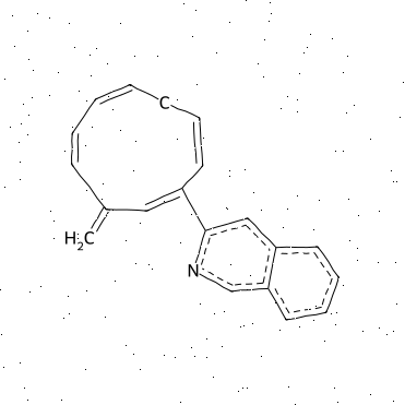 C=C1/C=C\C=C/C/C=C\C(c2cc3ccccc3cn2)=C/1